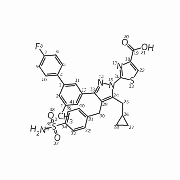 Cc1cc(-c2ccc(F)cc2)cc(-c2nn(-c3nc(C(=O)O)cs3)c(CC3CC3)c2Cc2ccc(S(N)(=O)=O)cc2)c1